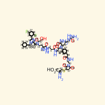 CC(C)[C@H](NC(=O)CCNC(=O)[C@@H](N)CCN(C(=O)CO)[C@@H](c1nc(-c2cc(F)ccc2F)cn1Cc1ccccc1)C(C)(C)C)C(=O)N(c1ccc(CC(=O)NCCN2C(=O)CC(SC[C@H](N)C(=O)O)C2=O)cc1)[C@@H](CCCNC(N)=O)C(N)=O